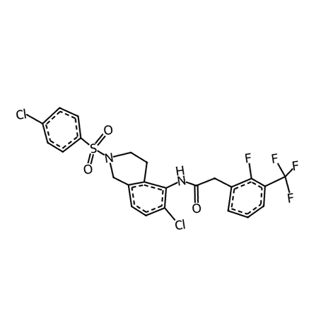 O=C(Cc1cccc(C(F)(F)F)c1F)Nc1c(Cl)ccc2c1CCN(S(=O)(=O)c1ccc(Cl)cc1)C2